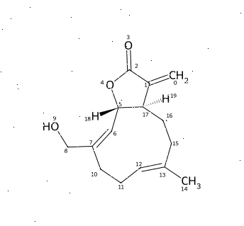 C=C1C(=O)O[C@H]2/C=C(\CO)CC/C=C(\C)C[CH][C@H]12